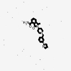 CC1c2cccc(C(N)=O)c2C(=O)N1C1CCN(Cc2cccc(-n3cccn3)c2)CC1